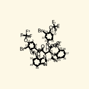 O=C(Nc1ccc(OC(F)(F)F)c(Br)c1)C(C(C(=O)Nc1ccc(OC(F)(F)F)c(Br)c1)n1cnc2cccc([N+](=O)[O-])c21)n1cnc2cccc([N+](=O)[O-])c21